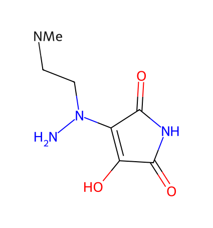 CNCCN(N)C1=C(O)C(=O)NC1=O